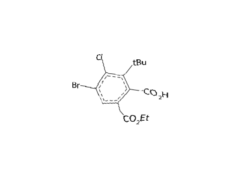 CCOC(=O)c1cc(Br)c(Cl)c(C(C)(C)C)c1C(=O)O